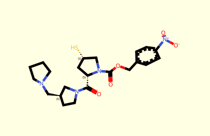 O=C([C@@H]1C[C@H](S)CN1C(=O)OCc1ccc([N+](=O)[O-])cc1)N1CC[C@@H](CN2CCCC2)C1